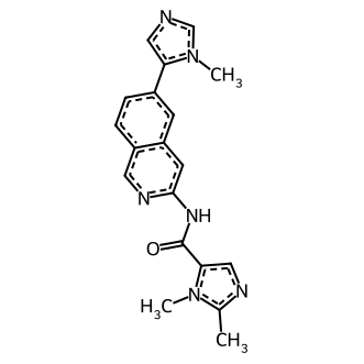 Cc1ncc(C(=O)Nc2cc3cc(-c4cncn4C)ccc3cn2)n1C